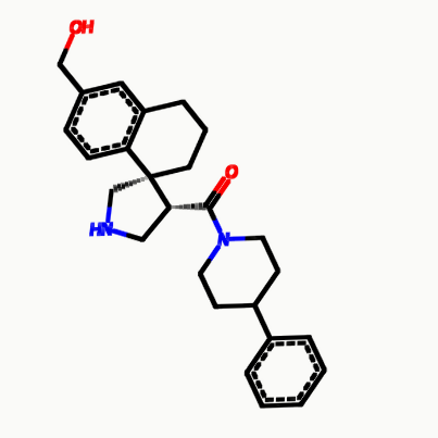 O=C([C@@H]1CNC[C@]12CCCc1cc(CO)ccc12)N1CCC(c2ccccc2)CC1